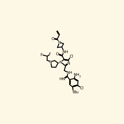 C=CC(=O)N1CC(NC(=O)c2c(Cl)nc(CNC(=N)c3cc(C(C)(C)C)c(Cl)cc3N)n2[C@@H]2CCN(CC(F)F)C2)C1